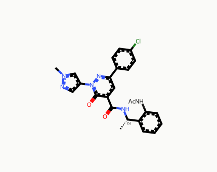 CC(=O)Nc1ccccc1[C@H](C)NC(=O)c1cc(-c2ccc(Cl)cc2)nn(-c2cnn(C)c2)c1=O